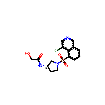 O=C(CO)N[C@H]1CCN(S(=O)(=O)c2cccc3cncc(Cl)c23)C1